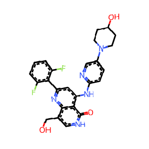 O=c1[nH]cc(CO)c2nc(-c3c(F)cccc3F)cc(Nc3ccc(N4CCC(O)CC4)cn3)c12